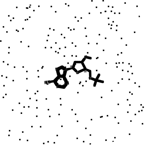 COC1C[C@H](n2cnc3c(N)ncnc32)O[C@@H]1COC(C)(C)C